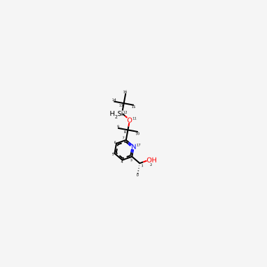 C[C@@H](O)c1cccc(C(C)(C)O[SiH2]C(C)(C)C)n1